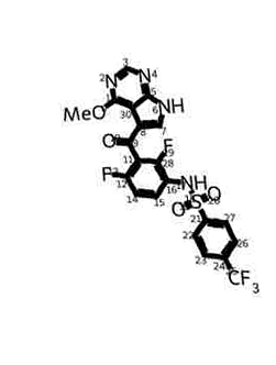 COc1ncnc2[nH]cc(C(=O)c3c(F)ccc(NS(=O)(=O)c4ccc(C(F)(F)F)cc4)c3F)c12